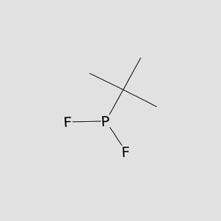 CC(C)(C)P(F)F